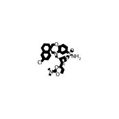 C=C[C@@H](OC(=O)N(C)C)[C@@H]1CC[C@H]1CN1C[C@@]2(CCCc3cc(Cl)ccc32)COc2ccc(S(N)(=O)=O)cc21